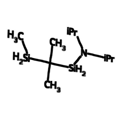 C[SiH2]C(C)(C)[SiH2]N(C(C)C)C(C)C